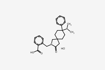 CN(C)C1(c2ccccc2)CCC2(CC1)CC(=O)N(Cc1ccccc1C(=O)O)C2.Cl